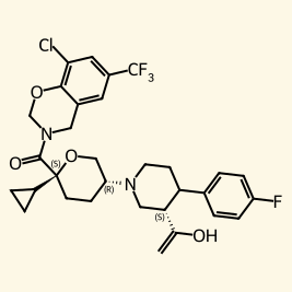 C=C(O)[C@@H]1CN([C@@H]2CC[C@@](C(=O)N3COc4c(Cl)cc(C(F)(F)F)cc4C3)(C3CC3)OC2)CCC1c1ccc(F)cc1